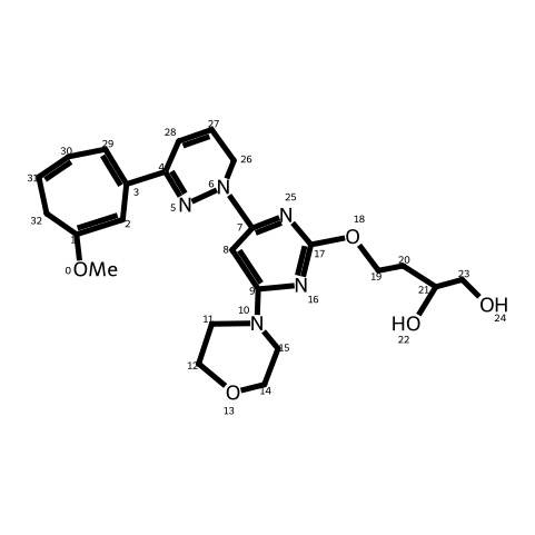 COC1=CC(C2=NN(c3cc(N4CCOCC4)nc(OCCC(O)CO)n3)CC=C2)=CC=CC1